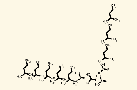 CC(C)CCP.CC(C)CCP.CC(C)CCP.CC(C)CCP.CC(C)CCP.CC(C)CCP.CC(C)CCP.CC(C)CCP.OB(O)F.OB(O)F.OB(O)F.OB(O)F